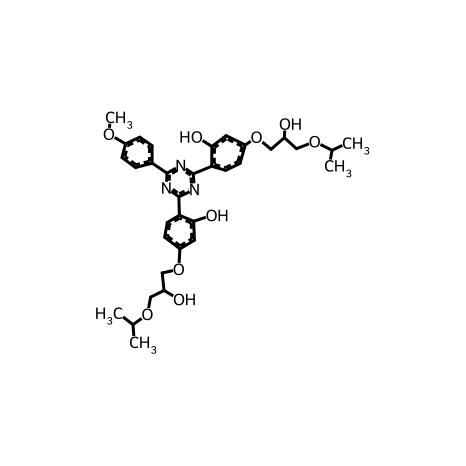 COc1ccc(-c2nc(-c3ccc(OCC(O)COC(C)C)cc3O)nc(-c3ccc(OCC(O)COC(C)C)cc3O)n2)cc1